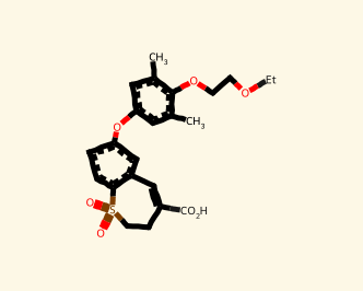 CCOCCOc1c(C)cc(Oc2ccc3c(c2)C=C(C(=O)O)CCS3(=O)=O)cc1C